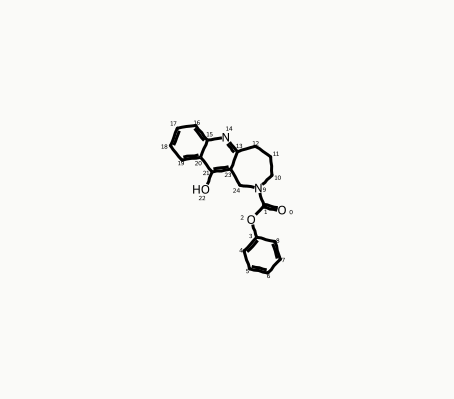 O=C(Oc1ccccc1)N1CCCc2nc3ccccc3c(O)c2C1